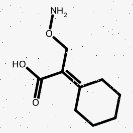 NOCC(C(=O)O)=C1CCCCC1